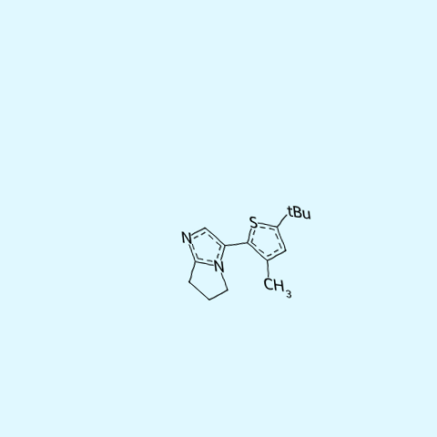 Cc1cc(C(C)(C)C)sc1-c1cnc2n1CCC2